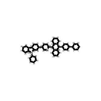 c1ccc(-c2ccc(-c3c4ccccc4c(-c4ccc(-c5ccc6c7ccccc7n(-c7ccccc7)c6c5)cn4)c4ccccc34)cc2)cc1